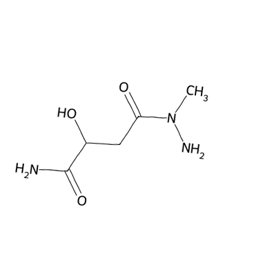 CN(N)C(=O)CC(O)C(N)=O